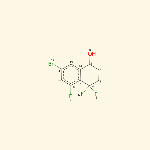 OC1CCC(F)(F)c2c(F)cc(Br)cc21